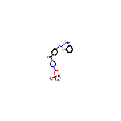 CC(C)(C)OC(=O)N1CCN(C(=O)c2ccc(N=C(NC#N)Oc3ccccc3)cc2)CC1